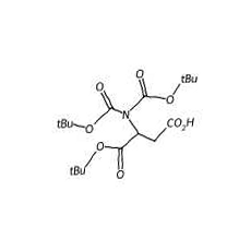 CC(C)(C)OC(=O)C(CC(=O)O)N(C(=O)OC(C)(C)C)C(=O)OC(C)(C)C